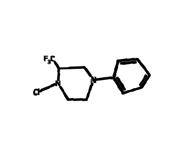 FC(F)(F)C1CN(c2ccccc2)CCN1Cl